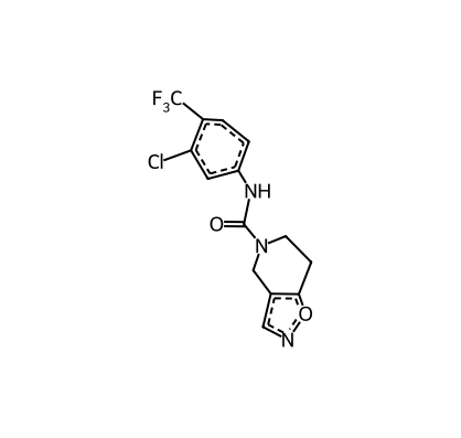 O=C(Nc1ccc(C(F)(F)F)c(Cl)c1)N1CCc2oncc2C1